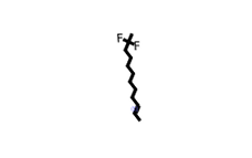 C/C=C/CCCCCCCC(C)(F)F